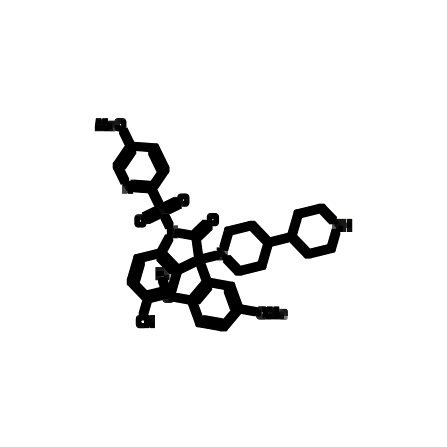 CCOc1ccc(OC)cc1C1(N2CCC(C3CCNCC3)CC2)C(=O)N(S(=O)(=O)c2ccc(OC)cn2)c2ccc(C#N)cc21